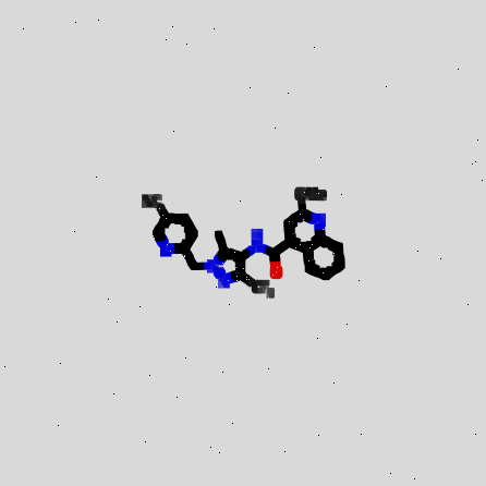 COc1cc(C(=O)Nc2c(C(F)(F)F)nn(Cc3ccc(C#N)cn3)c2C)c2ccccc2n1